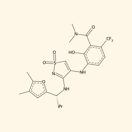 Cc1cc([C@H](NC2=NS(=O)(=O)C=C2Nc2ccc(C(F)(F)F)c(C(=O)N(C)C)c2O)C(C)C)oc1C